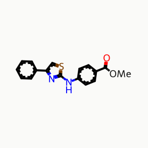 COC(=O)c1ccc(Nc2nc(-c3ccccc3)cs2)cc1